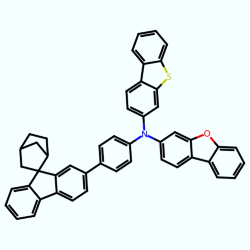 c1ccc2c(c1)-c1ccc(-c3ccc(N(c4ccc5c(c4)oc4ccccc45)c4ccc5c(c4)sc4ccccc45)cc3)cc1C21CC2CCC1C2